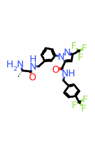 C[C@H](N)C(=O)NCc1cccc(-n2nc(C(F)(F)F)cc2C(=O)NCc2ccc(C(F)(F)F)cc2)c1